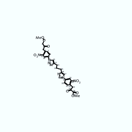 COOCC(=O)Cc1ccc(-n2cc(CCCc3cn(-c4ccc(CC(=O)C(=O)OC)c([N+](=O)[O-])c4)nn3)nn2)cc1[N+](=O)[O-]